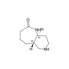 O=C1CCC[C@H]2CNCC[C@@H]2N1